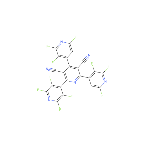 N#Cc1c(-c2cc(F)nc(F)c2F)nc(-c2c(F)c(F)nc(F)c2F)c(C#N)c1-c1cc(F)nc(F)c1F